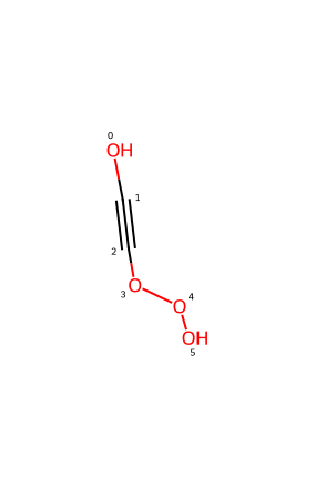 OC#COOO